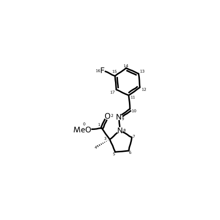 COC(=O)[C@]1(C)CCCN1N=Cc1cccc(F)c1